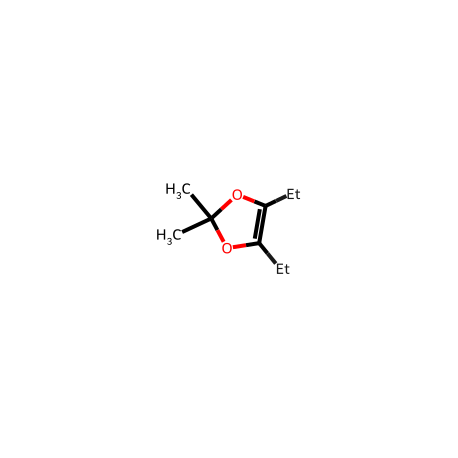 CCC1=C(CC)OC(C)(C)O1